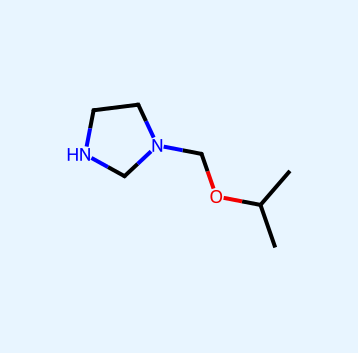 CC(C)OCN1CCNC1